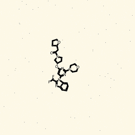 O=C(CC1CCCO1)N1CC[C@H](Oc2cc(-n3c(C(F)F)nc4ccccc43)nc(N3CCOCC3)n2)C1